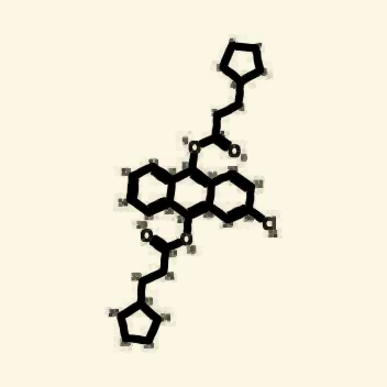 O=C(CCC1CCCC1)Oc1c2ccccc2c(OC(=O)CCC2CCCC2)c2cc(Cl)ccc12